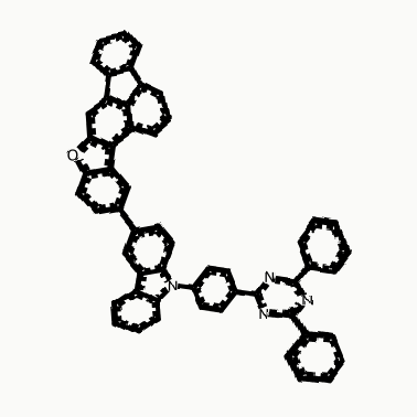 c1ccc(-c2nc(-c3ccccc3)nc(-c3ccc(-n4c5ccccc5c5cc(-c6ccc7oc8cc9c%10c(cccc%10c8c7c6)-c6ccccc6-9)ccc54)cc3)n2)cc1